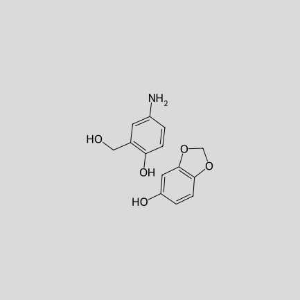 Nc1ccc(O)c(CO)c1.Oc1ccc2c(c1)OCO2